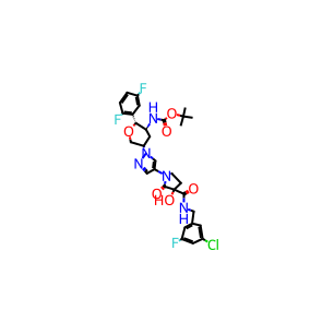 CC(C)(C)OC(=O)N[C@H]1C[C@@H](n2cc(N3CCC(O)(C(=O)NCc4cc(F)cc(Cl)c4)C3=O)cn2)CO[C@@H]1c1cc(F)ccc1F